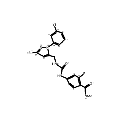 CNC(=O)c1ccc(NC(=O)NCc2cc(C(C)(C)C)nn2-c2cccc(Cl)c2)cc1F